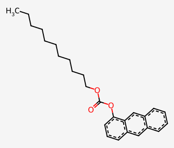 CCCCCCCCCCCOC(=O)Oc1cccc2cc3ccccc3cc12